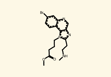 CNCCc1nc2cnc3cc(Br)ccc3c2n1CCCC(=O)OC